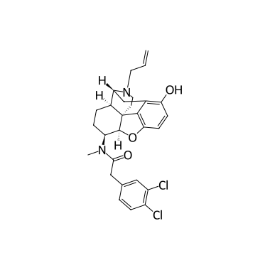 C=CCN1CC[C@@]23c4c5ccc(O)c4C[C@@H]1[C@@H]2CC[C@H](N(C)C(=O)Cc1ccc(Cl)c(Cl)c1)[C@@H]3O5